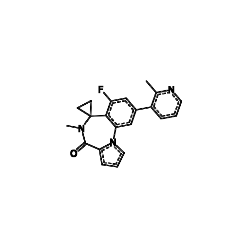 Cc1ncccc1-c1cc(F)c2c(c1)-n1cccc1C(=O)N(C)C21CC1